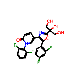 O=c1ccc(-c2nc(C(O)(CO)CO)oc2-c2ccc(F)cc2F)cn1-c1c(F)cccc1F